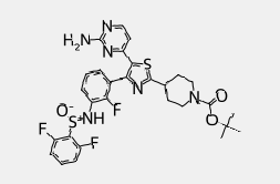 CC(C)(C)OC(=O)N1CCC(c2nc(-c3cccc(N[S+]([O-])c4c(F)cccc4F)c3F)c(-c3ccnc(N)n3)s2)CC1